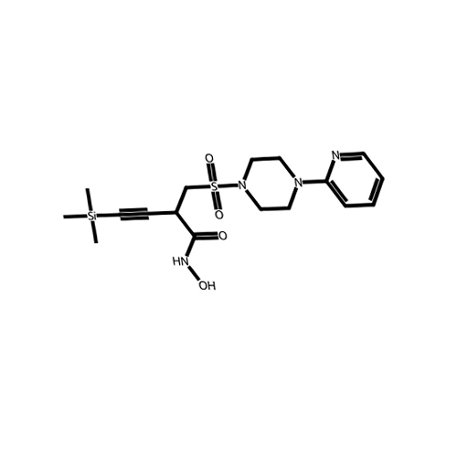 C[Si](C)(C)C#CC(CS(=O)(=O)N1CCN(c2ccccn2)CC1)C(=O)NO